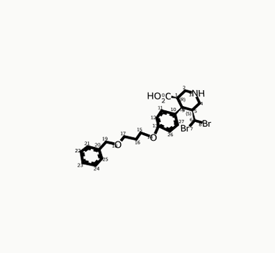 O=C(O)[C@H]1CNC[C@@H](C(Br)Br)[C@H]1c1ccc(OCCCOCc2ccccc2)cc1